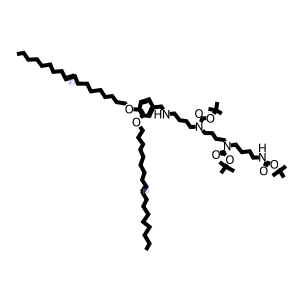 CCCCCCCC/C=C/CCCCCCCCOc1ccc(CNCCCCN(CCCCN(CCCCNC(=O)OC(C)(C)C)C(=O)OC(C)(C)C)C(=O)OC(C)(C)C)cc1OCCCCCCCC/C=C/CCCCCCCC